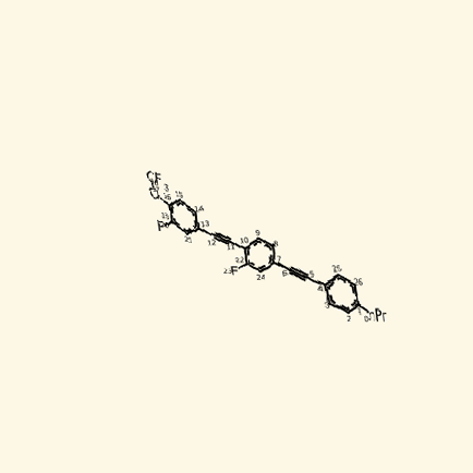 CCCc1ccc(C#Cc2ccc(C#Cc3ccc(OC(F)(F)F)c(F)c3)c(F)c2)cc1